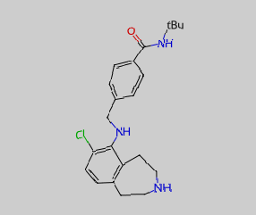 CC(C)(C)NC(=O)c1ccc(CNc2c(Cl)ccc3c2CCNCC3)cc1